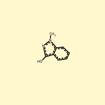 Cn1nc(O)c2c[c]ccc21